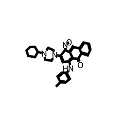 Cc1ccc(Nc2cc(N3CCN(C4CCCCC4)CC3)c3noc4c3c2C(=O)c2ccccc2-4)cc1